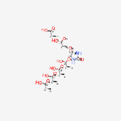 C=CC(=O)O.C=CC(=O)O.C=CC(=O)O.C=CC(=O)O.C=CC(=O)O.C=CC(=O)O.O=C1CNC(=O)N1